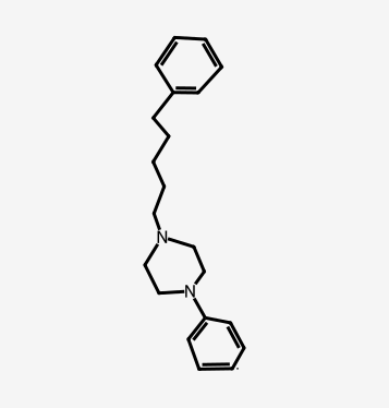 [c]1ccc(N2CCN(CCCCCc3ccccc3)CC2)cc1